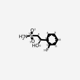 NS(=O)(=O)C[C@H](O)c1ccccc1F